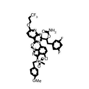 COc1ccc(CN(c2nn(C)c3c(-n4c(C(Cc5cc(F)cc(F)c5)OC(N)=O)nc5nc(OCCC(F)(F)F)ccc5c4=O)ccc(Cl)c23)S(C)(=O)=O)cc1